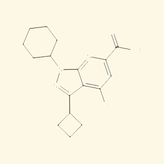 O=C(O)c1cc(Cl)c2c(C3CCC3)nn(C3CCCCC3)c2n1